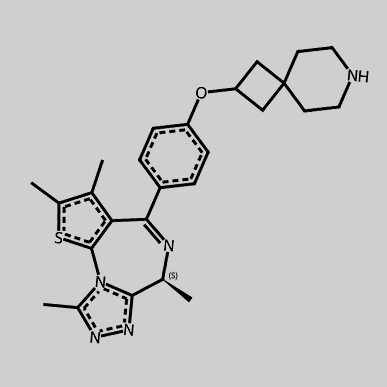 Cc1sc2c(c1C)C(c1ccc(OC3CC4(CCNCC4)C3)cc1)=N[C@@H](C)c1nnc(C)n1-2